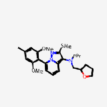 CCCN(CC1CCCO1)c1c(SC)nn2c(-c3c(OC)cc(C)cc3OC)cccc12